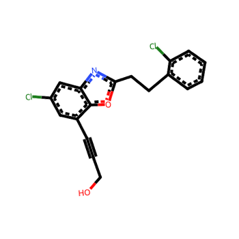 OCC#Cc1cc(Cl)cc2nc(CCc3ccccc3Cl)oc12